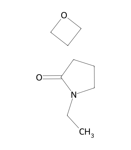 C1COC1.CCN1CCCC1=O